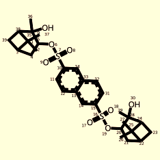 CC1(C)C2CC(OS(=O)(=O)c3ccc4cc(S(=O)(=O)OC5CC6CC(C6(C)C)C5(C)O)ccc4c3)C(C)(O)C1C2